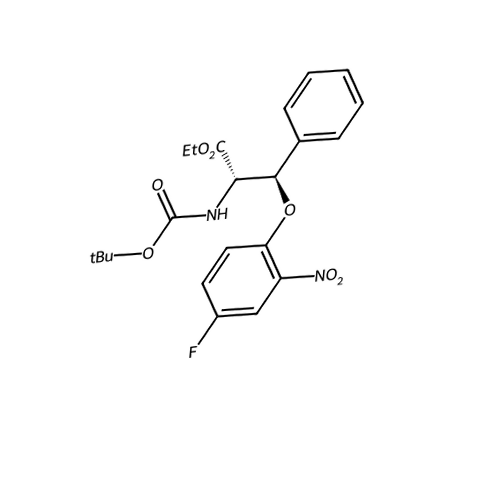 CCOC(=O)[C@@H](NC(=O)OC(C)(C)C)[C@H](Oc1ccc(F)cc1[N+](=O)[O-])c1ccccc1